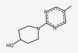 Cc1cnc(N2CCC(O)CC2)nc1